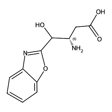 N[C@@H](CC(=O)O)C(O)c1nc2ccccc2o1